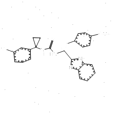 COc1ccc(C[C@@H](NC(=O)NC2(c3cccc(Cl)c3)CC2)c2nc3ccccc3[nH]2)cc1